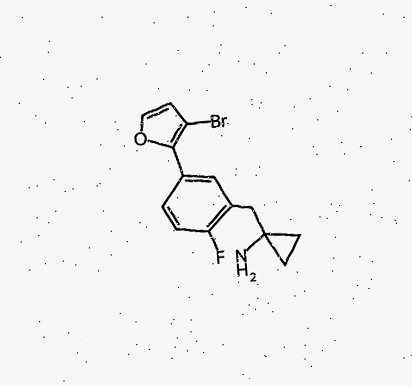 NC1(Cc2cc(-c3occc3Br)ccc2F)CC1